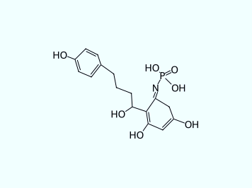 O=P(O)(O)N=C1CC(O)=CC(O)=C1C(O)CCCc1ccc(O)cc1